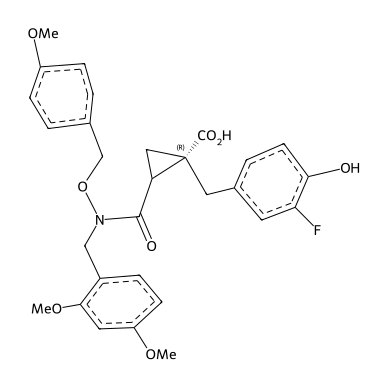 COc1ccc(CON(Cc2ccc(OC)cc2OC)C(=O)C2C[C@]2(Cc2ccc(O)c(F)c2)C(=O)O)cc1